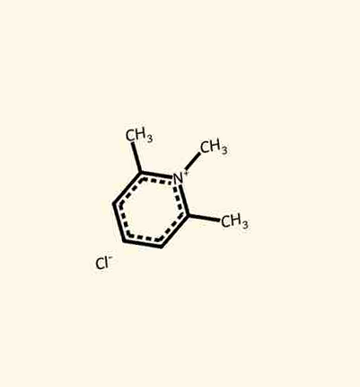 Cc1cccc(C)[n+]1C.[Cl-]